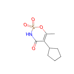 CC1=C(C2CCCC2)C(=O)NS(=O)(=O)O1